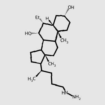 CC[C@H]1[C@@H](O)C2C3CCC([C@H](C)CCCNN)[C@@]3(C)CCC2[C@@]2(C)CC[C@@H](O)C[C@@H]12